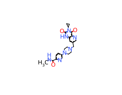 CNC(=O)c1ccc(N2CCN(Cc3cnc4c(=O)n(C5CC5)c(=O)[nH]c4c3)CC2)cn1